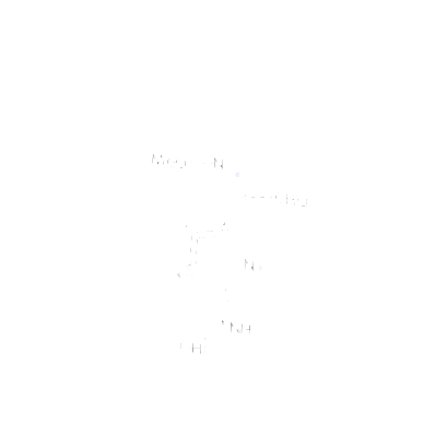 CO/N=C(/[C]=O)c1csc(NC=O)n1